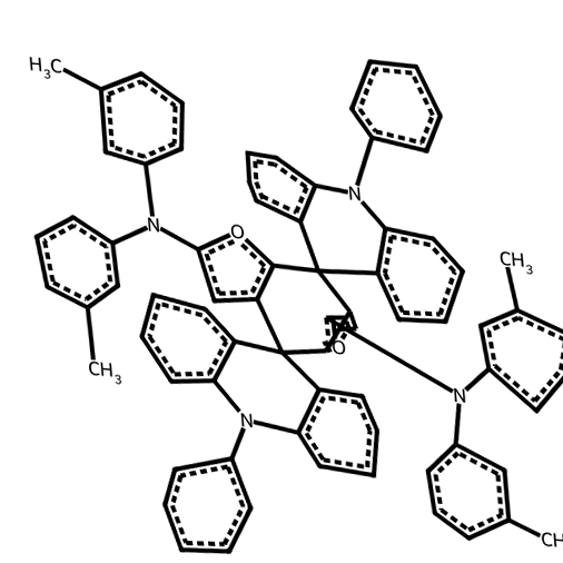 Cc1cccc(N(c2cccc(C)c2)c2cc3c(o2)C2(c4ccccc4N(c4ccccc4)c4ccccc42)c2cc(N(c4cccc(C)c4)c4cccc(C)c4)oc2C32c3ccccc3N(c3ccccc3)c3ccccc32)c1